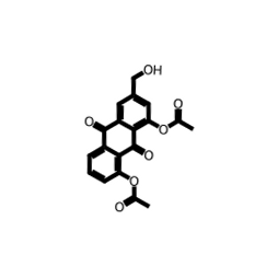 CC(=O)Oc1cccc2c1C(=O)c1c(OC(C)=O)cc(CO)cc1C2=O